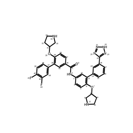 O=C(Nc1ccc(OC2CCNC2)c(-c2cccc(-c3nn[nH]n3)c2)c1)c1ccc(OC2CCNC2)c(-c2ccc(F)c(F)c2)c1